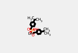 CC(C)c1ccc(C(=O)P(=O)(O)C(=O)c2ccc(C(C)C)cc2)cc1.[LiH]